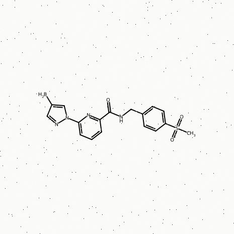 Bc1cnn(-c2cccc(C(=O)NCc3ccc(S(C)(=O)=O)cc3)n2)c1